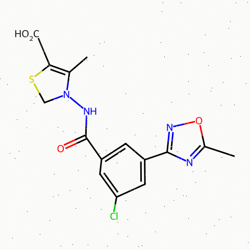 CC1=C(C(=O)O)SCN1NC(=O)c1cc(Cl)cc(-c2noc(C)n2)c1